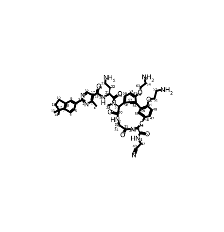 Cc1nc(-c2ccc3c(c2)CCC3(C)C)ncc1C(=O)N[C@@H](CCN)C(=O)N(C)[C@@H]1C(=O)N[C@@H](C)C(=O)N[C@H](C(=O)NCC#N)Cc2ccc(OCCN)c(c2)-c2cc1ccc2OCCN